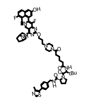 C#Cc1c(F)ccc2cc(O)cc(-c3ncc4c(N5CC6CCC(C5)N6)nc(OCCCN5CCN(C(=O)CCCCC(=O)NC(C(=O)N6CCC[C@H]6C(=O)NCc6ccc(-c7scnc7C)cc6)C(C)(C)C)CC5)nc4c3F)c12